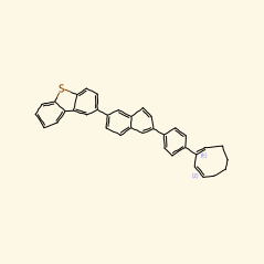 C1=C\C(c2ccc(-c3ccc4cc(-c5ccc6sc7ccccc7c6c5)ccc4c3)cc2)=C/CCCC/1